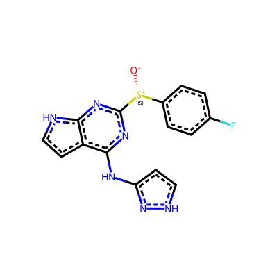 [O-][S@+](c1ccc(F)cc1)c1nc(Nc2cc[nH]n2)c2cc[nH]c2n1